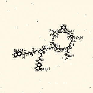 CCNC(=O)[C@@H]1CSCC(=O)N[C@@H](CCCCNC(=O)C(CCCCNC(=O)CCC(=O)Nc2ccc3c(S(=O)(=O)O)cccc3c2)NC(=O)CCC(=O)Nc2ccc3c(S(=O)(=O)O)cccc3c2)C(=O)N[C@@H](CS)C(=O)N[C@@H](CCCNC(=N)N)C(=O)NCC(=O)N[C@@H](CC(=O)O)C(=O)N[C@@H](CS)C(=O)N[C@@H](Cc2ccccc2)C(=O)N1